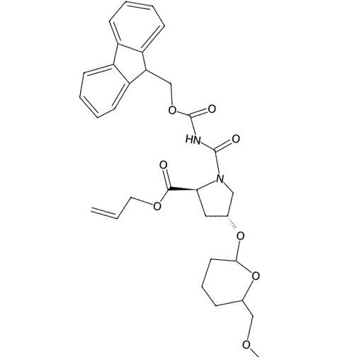 C=CCOC(=O)[C@@H]1C[C@@H](OC2CCCC(COC)O2)CN1C(=O)NC(=O)OCC1c2ccccc2-c2ccccc21